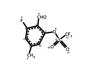 Cc1cc(F)c(C=O)c(OS(=O)(=O)C(F)(F)F)c1